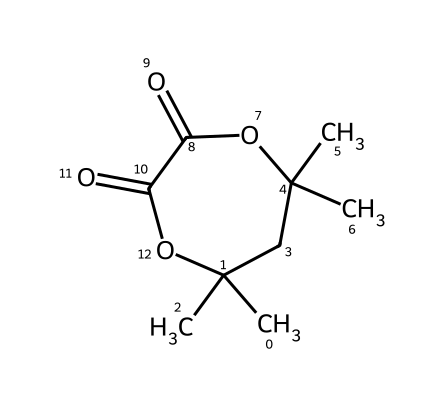 CC1(C)CC(C)(C)OC(=O)C(=O)O1